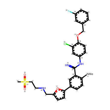 CNc1ccc(-c2ccc(CNCCS(C)(=O)=O)o2)cc1C(=N)Nc1ccc(OCc2cccc(F)c2)c(Cl)c1